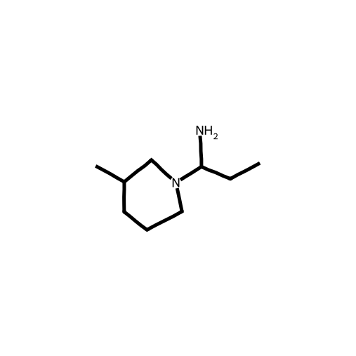 CCC(N)N1CCCC(C)C1